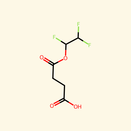 O=C(O)CCC(=O)OC(F)C(F)F